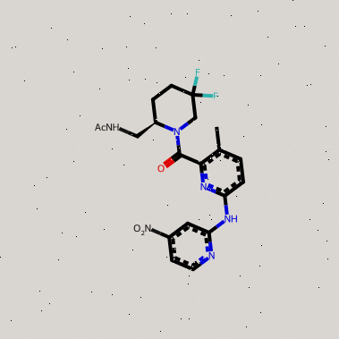 CC(=O)NC[C@H]1CCC(F)(F)CN1C(=O)c1nc(Nc2cc([N+](=O)[O-])ccn2)ccc1C